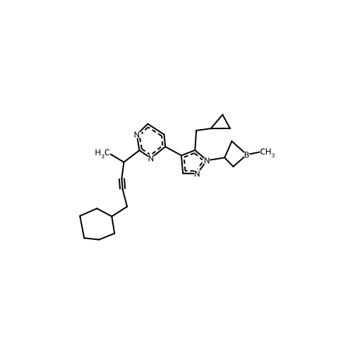 CB1CC(n2ncc(-c3ccnc(C(C)C#CCC4CCCCC4)n3)c2CC2CC2)C1